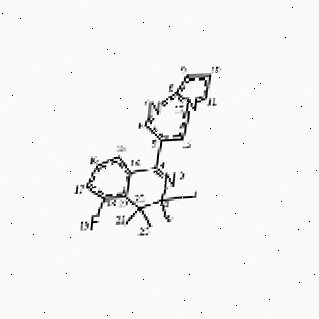 CC1(C)N=C(c2cnc3cccn3c2)c2cccc(F)c2C1(C)C